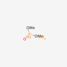 CO[PH](=O)OC.P